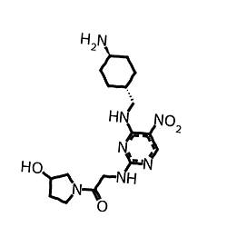 N[C@H]1CC[C@H](CNc2nc(NCC(=O)N3CCC(O)C3)ncc2[N+](=O)[O-])CC1